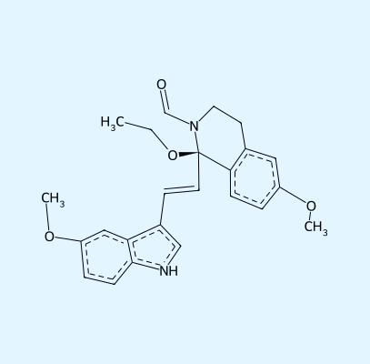 CCO[C@]1(/C=C/c2c[nH]c3ccc(OC)cc23)c2ccc(OC)cc2CCN1C=O